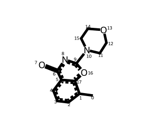 Cc1cccc2c(=O)nc(N3CCOCC3)oc12